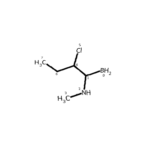 BC(NC)C(Cl)CC